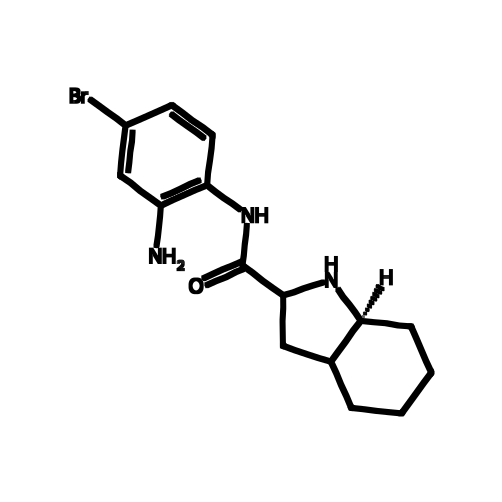 Nc1cc(Br)ccc1NC(=O)C1CC2CCCC[C@@H]2N1